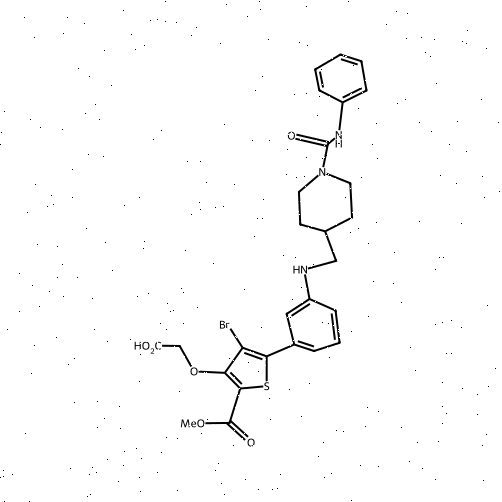 COC(=O)c1sc(-c2cccc(NCC3CCN(C(=O)Nc4ccccc4)CC3)c2)c(Br)c1OCC(=O)O